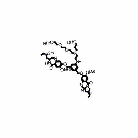 C/C=C(/S)CC1C=Nc2cc(OCc3cc(COc4cc5c(cc4OC)C(=O)N4C/C(=C/C)C[C@H]4C=N5)cc(N(C)CCN(CCCC=O)CCOCCOCCOC)c3)c(OC)cc2C(=O)N1